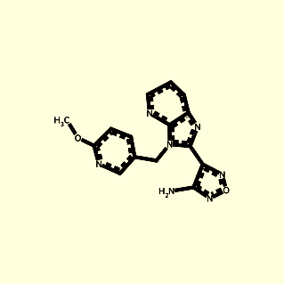 COc1ccc(Cn2c(-c3nonc3N)nc3cccnc32)cn1